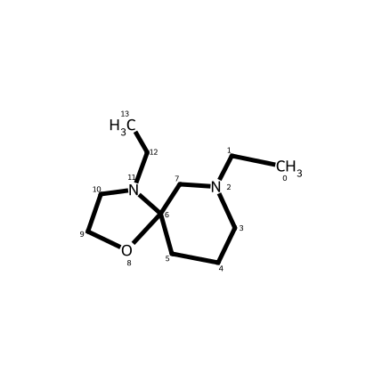 CCN1CCCC2(C1)OCCN2CC